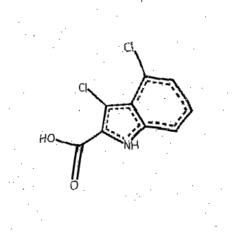 O=C(O)c1[nH]c2cccc(Cl)c2c1Cl